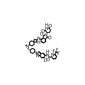 COc1cc2nn([C@H]3CC[C@H](CN(C)C4CCC5(CC4)CC(Nc4cccc6c4C(=O)N(C4CCC(=O)NC4=O)C6=O)C5)CC3)cc2cc1NC(=O)c1cccc(C(F)(F)F)n1